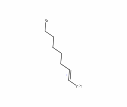 CCC/C=C/CCCCCBr